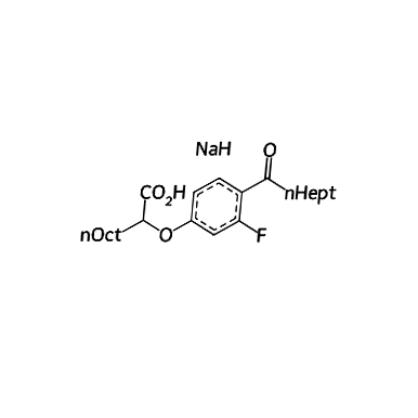 CCCCCCCCC(Oc1ccc(C(=O)CCCCCCC)c(F)c1)C(=O)O.[NaH]